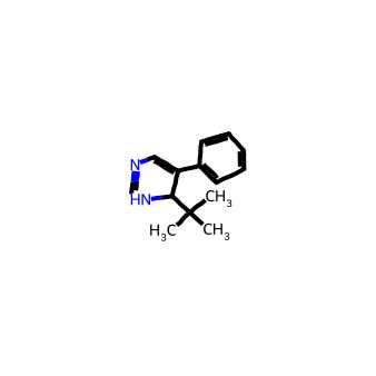 CC(C)(C)C1NC=NC=C1c1ccccc1